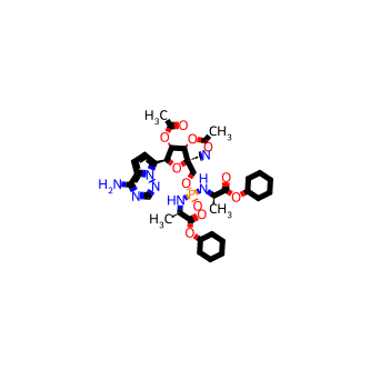 CC(=O)O[C@H]1[C@H](c2ccc3c(N)ncnn23)O[C@](C#N)(COP(=O)(N[C@@H](C)C(=O)OC2CCCCC2)N[C@@H](C)C(=O)OC2CCCCC2)[C@H]1OC(C)=O